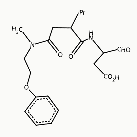 CC(C)C(CC(=O)N(C)CCOc1ccccc1)C(=O)NC(C=O)CC(=O)O